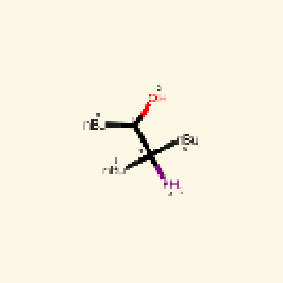 CCCCC(O)C(P)(CCCC)CCCC